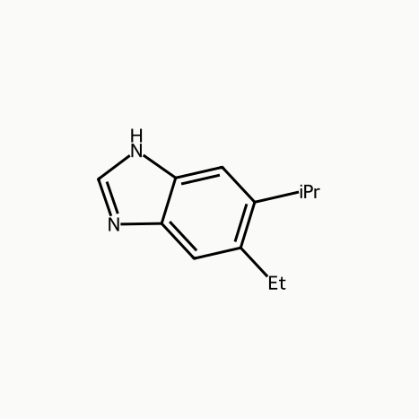 CCc1cc2nc[nH]c2cc1C(C)C